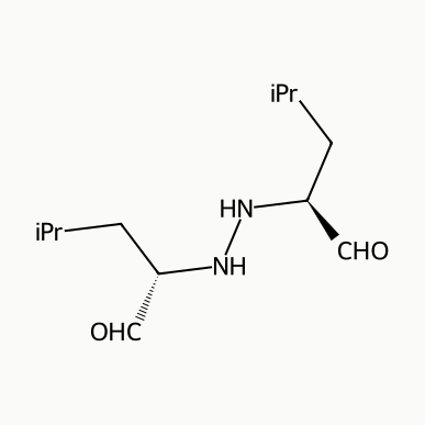 CC(C)C[C@@H](C=O)NN[C@H](C=O)CC(C)C